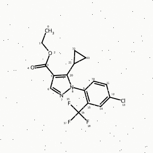 CCOC(=O)c1cnn(-c2ccc(Cl)cc2C(F)(F)F)c1C1CC1